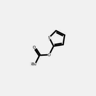 CCC(C)C(=O)Oc1cccs1